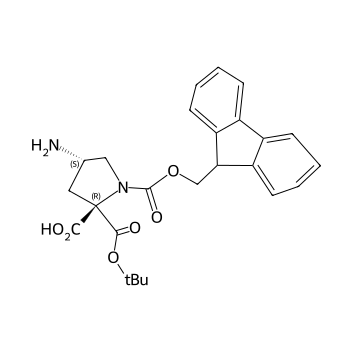 CC(C)(C)OC(=O)[C@]1(C(=O)O)C[C@H](N)CN1C(=O)OCC1c2ccccc2-c2ccccc21